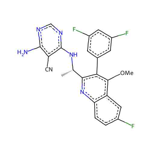 COc1c(-c2cc(F)cc(F)c2)c([C@H](C)Nc2ncnc(N)c2C#N)nc2ccc(F)cc12